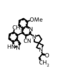 C=CC(=O)N1CC2(CCN(c3nc4c(OC)cccc4c(-c4c(C)ccc5[nH]ncc45)c3C#N)C2)C1